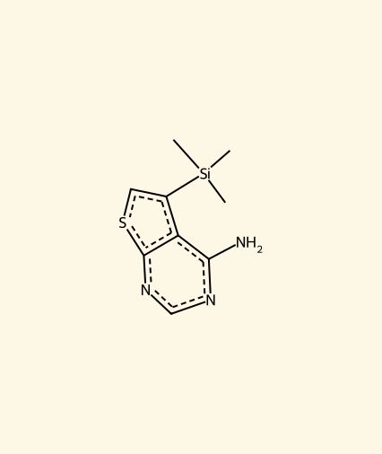 C[Si](C)(C)c1csc2ncnc(N)c12